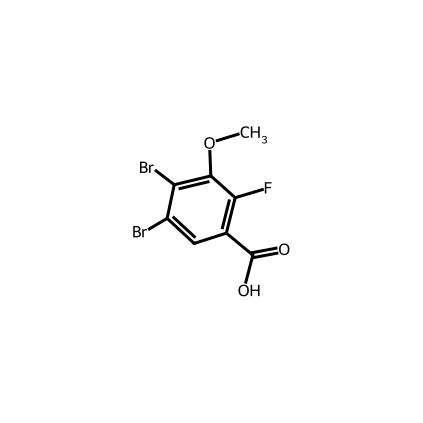 COc1c(F)c(C(=O)O)cc(Br)c1Br